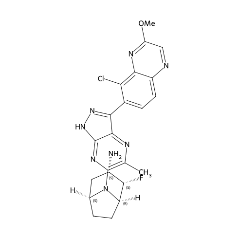 COc1cnc2ccc(-c3n[nH]c4nc(N5[C@H]6CC[C@@H]5[C@@H](F)[C@@H](N)C6)c(C)nc34)c(Cl)c2n1